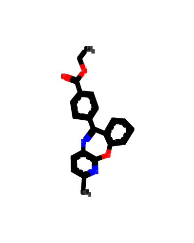 CCOC(=O)c1ccc(C2=Nc3ccc(C)nc3Oc3ccccc32)cc1